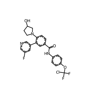 O=C(Nc1ccc(OC(F)(F)Cl)cc1)c1ccc(N2CCC(O)C2)c(-c2cncc(F)c2)c1